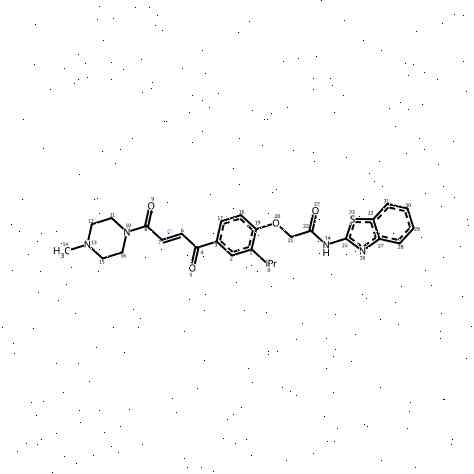 CC(C)c1cc(C(=O)/C=C/C(=O)N2CCN(C)CC2)ccc1OCC(=O)Nc1nc2ccccc2s1